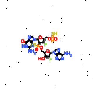 Nc1nc2c(ncn2[C@@H]2O[C@H](CO[PH](=O)S)[C@@H](F)[C@H]2P(=O)(S)OCC2O[C@@H](n3cnc4c(N)ncnc43)[C@@H](F)[C@@H]2O)c(=O)[nH]1